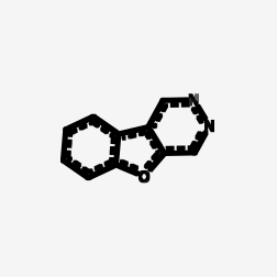 c1ccc2c(c1)oc1cnncc12